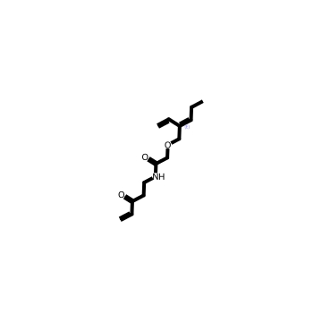 C=CC(=O)CCNC(=O)COC/C(C=C)=C/CC